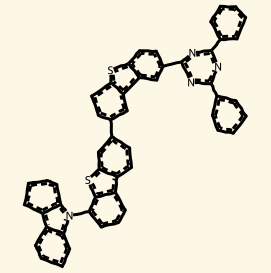 c1ccc(-c2nc(-c3ccccc3)nc(-c3ccc4sc5ccc(-c6ccc7c(c6)sc6c(-n8c9ccccc9c9ccccc98)cccc67)cc5c4c3)n2)cc1